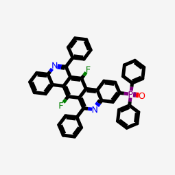 O=P(C1=CC=CCC1)(c1ccccc1)c1ccc2c(c1)nc(-c1ccccc1)c1c(F)c3c(c(-c4ccccc4)nc4ccccc43)c(F)c12